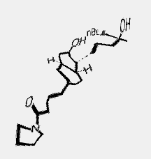 CCCC[C@](C)(O)C/C=C/[C@@H]1[C@H]2CC(CCCC(=O)N3CCCC3)=C[C@H]2C[C@H]1O